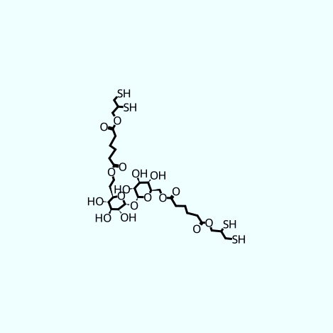 O=C(CCCCC(=O)OCC(S)CS)OCC[C@H]1O[C@H](O[C@H]2O[C@H](COC(=O)CCCCC(=O)OCC(S)CS)[C@@H](O)[C@H](O)[C@H]2O)[C@H](O)[C@@H](O)[C@@H]1O